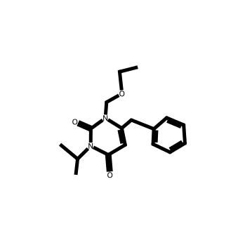 CCOCn1c(Cc2ccccc2)cc(=O)n(C(C)C)c1=O